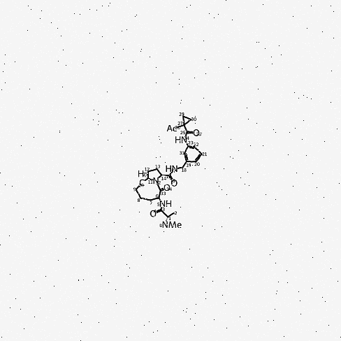 CN[C@@H](C)C(=O)N[C@H]1CCCC[C@H]2CC[C@@H](C(=O)NCc3cccc(NC(=O)C4(C(C)=O)CC4)c3)N2C1=O